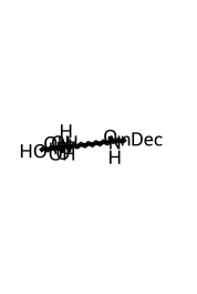 CCCCCCCCCCCCNC(=O)CCCCCCCCCCCNC(=O)[C@H](O)[C@@H](O)[C@H](O)CCO